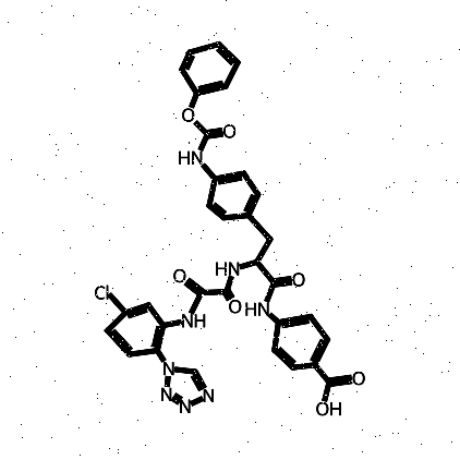 O=C(Nc1ccc(CC(NC(=O)C(=O)Nc2cc(Cl)ccc2-n2cnnn2)C(=O)Nc2ccc(C(=O)O)cc2)cc1)Oc1ccccc1